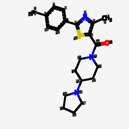 CCCc1ccc(-c2nc(C)c(C(=O)N3CCC(N4CCCC4)CC3)s2)cc1